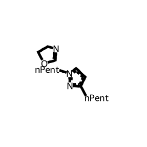 C1=NCCO1.CCCCCc1ccn(CCCCC)n1